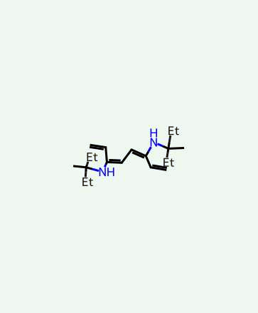 C=C/C(=C\C=C(/C=C)NC(C)(CC)CC)NC(C)(CC)CC